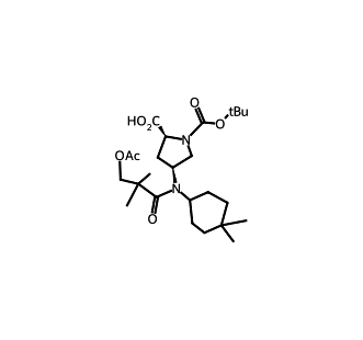 CC(=O)OCC(C)(C)C(=O)N(C1CCC(C)(C)CC1)[C@H]1C[C@@H](C(=O)O)N(C(=O)OC(C)(C)C)C1